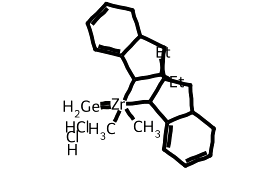 CCC1CC2CC=CC=C2[CH]1[Zr]([CH3])([CH3])(=[GeH2])[CH]1C2=CC=CCC2CC1CC.Cl.Cl